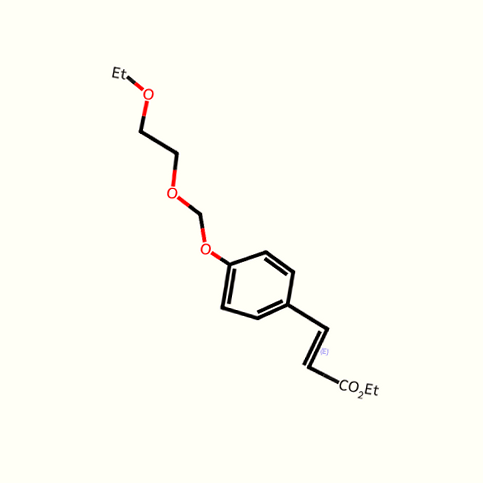 CCOCCOCOc1ccc(/C=C/C(=O)OCC)cc1